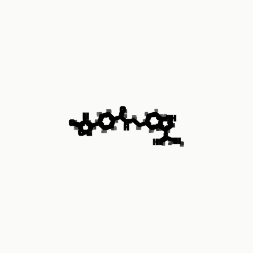 N=C(N)c1c[nH]c2ccc(CCNC(=O)c3ccc(-c4noc(=O)[nH]4)cc3)cc12